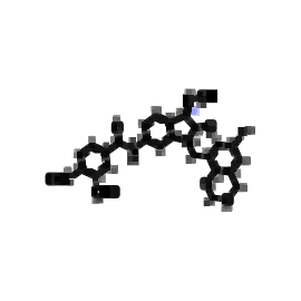 O=Cc1ccc(C(=O)Nc2ccc3c(c2)N(Cc2cc(F)cc4c2OCOC4)C(=O)/C3=N\O)cc1C=O